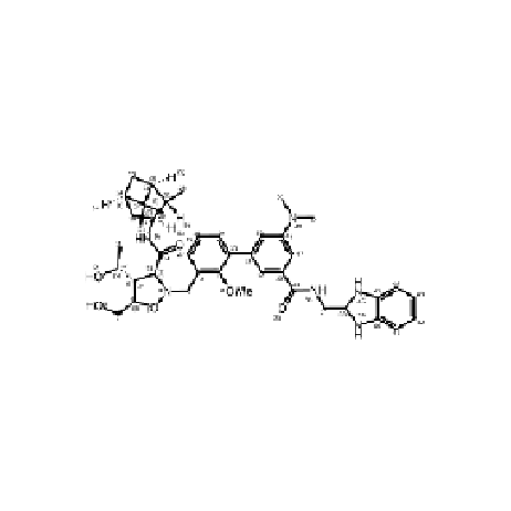 COc1c(CN2O[C@@H](CO)[C@H]([C@H](C)O)[C@H]2C(=O)N[C@H]2C[C@H]3C[C@@H]([C@@H]2C)C3(C)C)cccc1-c1cc(C(=O)NCC2Nc3ccccc3N2)cc(N(C)C)c1